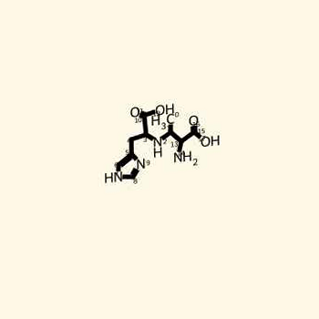 CC(NC(Cc1c[nH]cn1)C(=O)O)C(N)C(=O)O